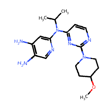 COC1CCN(c2nccc(N(c3cc(N)c(N)cn3)C(C)C)n2)CC1